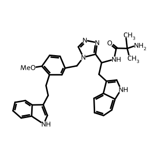 COc1ccc(Cn2cnnc2C(Cc2c[nH]c3ccccc23)NC(=O)C(C)(C)N)cc1CCc1c[nH]c2ccccc12